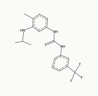 Cc1ccc(NC(=S)Nc2cccc(C(F)(F)F)c2)cc1NC(C)C